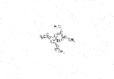 C=CC(=O)OCCc1ccccc1C(CC)c1ccccc1CCOC(=O)C=C.C=CCOC(=O)C=CC(=O)OCC=C